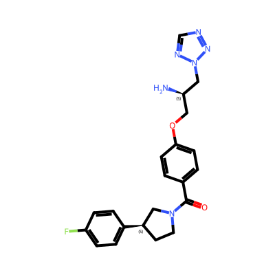 N[C@H](COc1ccc(C(=O)N2CC[C@@H](c3ccc(F)cc3)C2)cc1)Cn1ncnn1